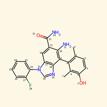 Cc1ccc(O)c(C)c1-c1c(N)c(C(N)=O)cc2c1ncn2-c1ccccc1F